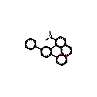 CN(C)c1ccc2ccccc2c1-c1cc(-c2ccccc2)ccc1-c1ccccc1